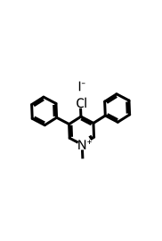 C[n+]1cc(-c2ccccc2)c(Cl)c(-c2ccccc2)c1.[I-]